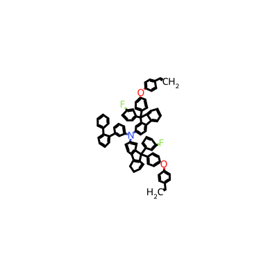 C=Cc1ccc(Oc2ccc(C3(c4cccc(F)c4)C4=C(CCC=C4)c4ccc(N(c5cccc(-c6ccccc6-c6ccccc6)c5)c5ccc6c(c5)C(c5ccc(Oc7ccc(C=C)cc7)cc5)(c5cccc(F)c5)c5ccccc5-6)cc43)cc2)cc1